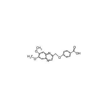 COc1cc2ncc(COc3ccc(C(=O)O)cc3)nc2cc1OC